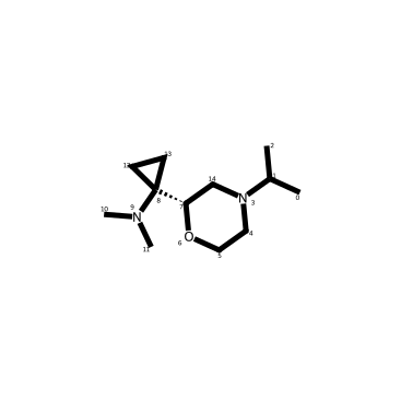 CC(C)N1CCO[C@H](C2(N(C)C)CC2)C1